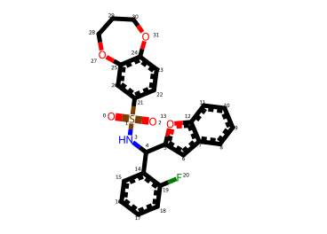 O=S(=O)(NC(c1cc2ccccc2o1)c1ccccc1F)c1ccc2c(c1)OCCCO2